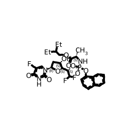 CCC(CC)COC(=O)[C@H](C)N[P@@](=O)(Oc1cccc2ccccc12)O[C@H](C(F)F)[C@H]1O[C@@H](n2cc(F)c(=O)[nH]c2=O)C[C@@H]1O